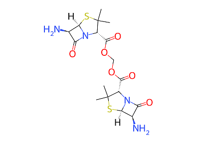 CC1(C)S[C@@H]2[C@H](N)C(=O)N2[C@H]1C(=O)OCOC(=O)[C@@H]1N2C(=O)[C@@H](N)[C@H]2SC1(C)C